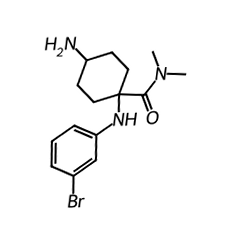 CN(C)C(=O)C1(Nc2cccc(Br)c2)CCC(N)CC1